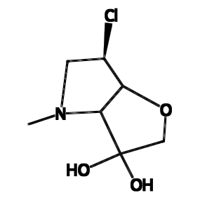 CN1C[C@@H](Cl)C2OCC(O)(O)C21